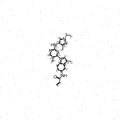 C=CC(=O)Nc1ccc2c(c1)c(C)cn2-c1nc(Nc2cn(CC)nc2C)ncc1F